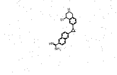 CCC1CNCc2ccc(C3CC3c3ccc4cc(C(=N)N)ccc4c3)cc21